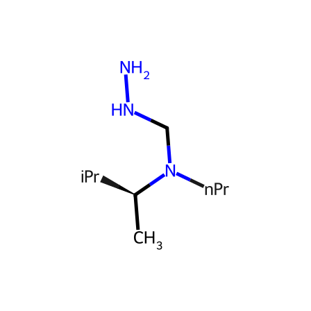 CCCN(CNN)[C@@H](C)C(C)C